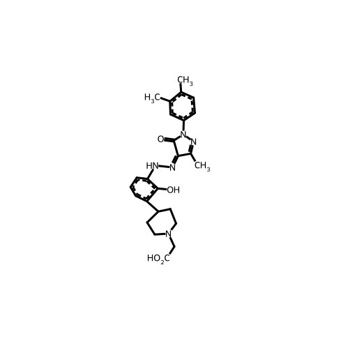 CC1=NN(c2ccc(C)c(C)c2)C(=O)C1=NNc1cccc(C2CCN(CC(=O)O)CC2)c1O